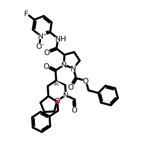 O=CN(C[C@@H](CC1CCCC1)C(=O)N1C(C(=O)Nc2ccc(F)c[n+]2[O-])CCN1C(=O)OCc1ccccc1)OCc1ccccc1